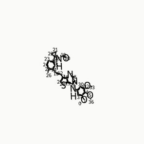 COc1cc(Nc2ncnc3c(/C=C/c4cc(C5(NC=O)CC5)ccc4C)csc23)cc(OC)c1OC